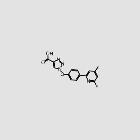 Cc1cc(F)nc(-c2ccc(On3cc(C(=O)O)nn3)cc2)c1